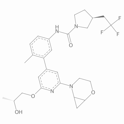 Cc1ccc(NC(=O)N2CC[C@@H](CC(F)(F)F)C2)cc1-c1cc(OC[C@@H](C)O)nc(N2CCOC3CC32)c1